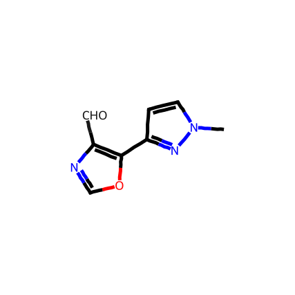 Cn1ccc(-c2ocnc2C=O)n1